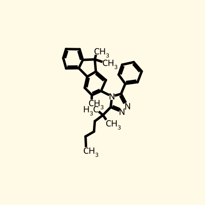 CCCCC(C)(C)c1nnc(-c2ccccc2)n1-c1cc2c(cc1C)-c1ccccc1C2(C)C